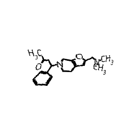 CC(=O)CC(c1ccccc1)N1CCc2cc(CN(C)C)oc2C1